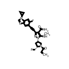 C=CC(=O)N1C[C@@H](n2nc(C#Cc3cc4ncn(C5CC5)c4cc3F)c(C(N)=O)c2NC)C[C@H]1CF